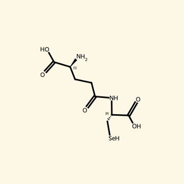 N[C@@H](CCC(=O)N[C@@H](C[SeH])C(=O)O)C(=O)O